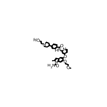 COCCOc1cc2c(cc1Oc1ccnc(NC(=O)c3ccc(C4CCN(CCO)CC4)cc3)c1)cc(C)n2C(N)=O